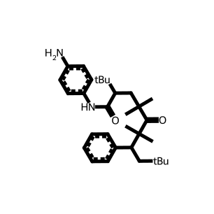 CC(C)(C)CC(c1ccccc1)C(C)(C)C(=O)C(C)(C)CC(C(=O)Nc1ccc(N)cc1)C(C)(C)C